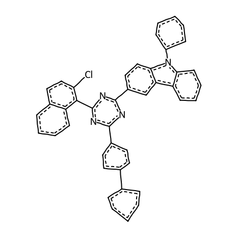 Clc1ccc2ccccc2c1-c1nc(-c2ccc(-c3ccccc3)cc2)nc(-c2ccc3c(c2)c2ccccc2n3-c2ccccc2)n1